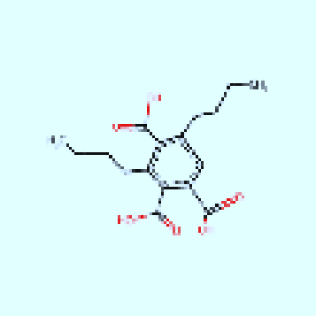 CCCCc1cc(C(=O)O)c(C(=O)O)c(CCCC)c1C(=O)O